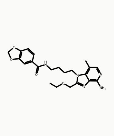 CCOCc1nc2c(N)ncc(C)c2n1CCCCNC(=O)c1ccc2c(c1)OCO2